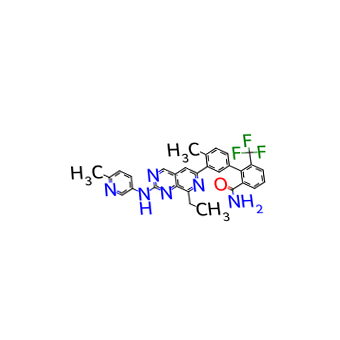 CCc1nc(-c2cc(-c3c(C(N)=O)cccc3C(F)(F)F)ccc2C)cc2cnc(Nc3ccc(C)nc3)nc12